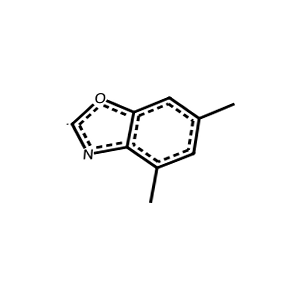 Cc1cc(C)c2n[c]oc2c1